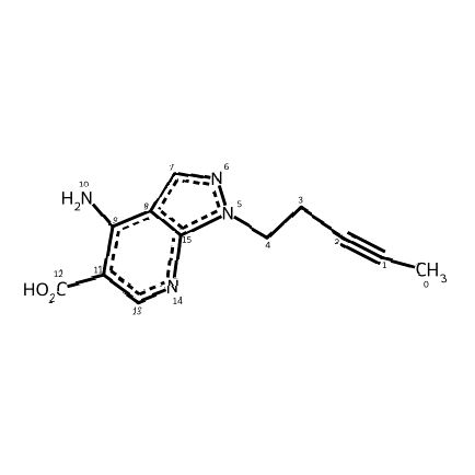 CC#CCCn1ncc2c(N)c(C(=O)O)cnc21